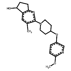 COc1ccc(OC2CCN(c3nc4c(cc3C)C(O)CC4)CC2)cn1